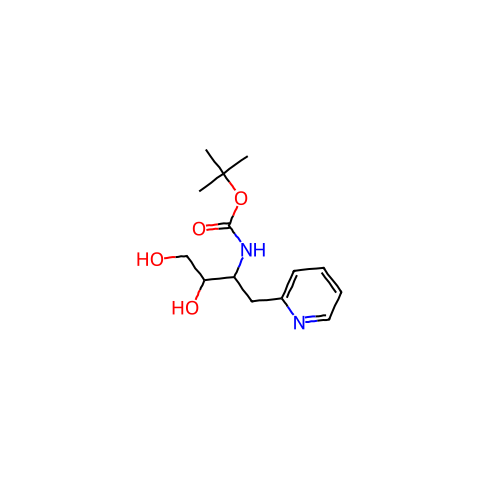 CC(C)(C)OC(=O)NC(Cc1ccccn1)C(O)CO